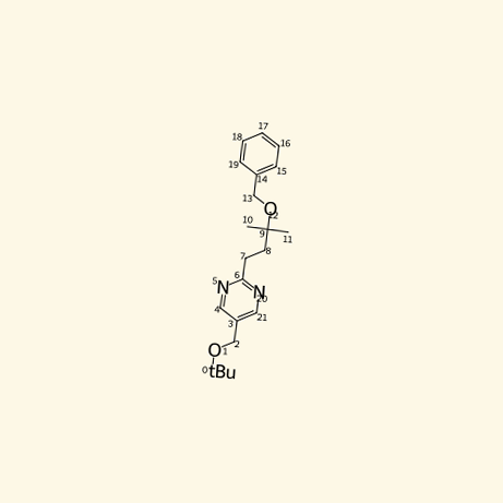 CC(C)(C)OCc1cnc(CCC(C)(C)OCc2ccccc2)nc1